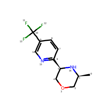 C[C@H]1COC[C@@H](c2ccc(C(F)(F)F)cn2)N1